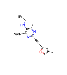 CCC(C)CNc1c(C)nc(C#Cc2cc(C)c(C)o2)nc1NC